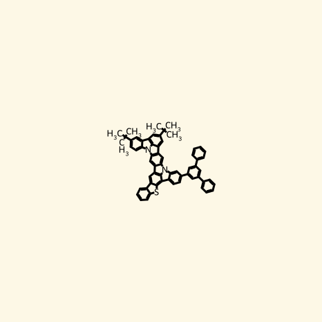 CC(C)(C)c1ccc2c(c1)c1cc(C(C)(C)C)cc3c4cc5c(cc4n2c13)c1cc2c3ccccc3sc2c2c3ccc(-c4cc(-c6ccccc6)cc(-c6ccccc6)c4)cc3n5c12